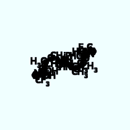 CC(C)CSC(CC(=O)NCCC(C)(C)OCCC(C)(C)OC[C@H]1OC[C@@H](Nc2ncccc2C(F)(F)F)[C@@H](O)[C@H]1O)C(=O)NCCC(C)(C)OCCC(C)(C)OC[C@H]1OC[C@@H](Nc2ncccc2C(F)(F)F)[C@@H](O)[C@H]1O